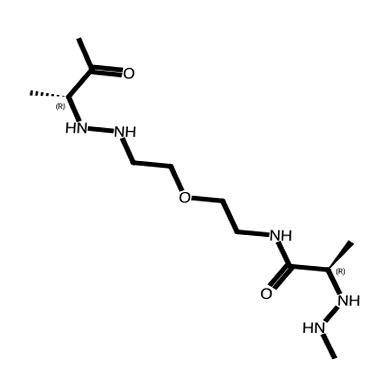 CNN[C@H](C)C(=O)NCCOCCNN[C@H](C)C(C)=O